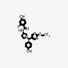 N#Cc1ccc([C@H](c2cnc(OCC(F)(F)F)nc2)N2CCC(NC(=O)c3ccc(C#N)cc3F)C2)cc1